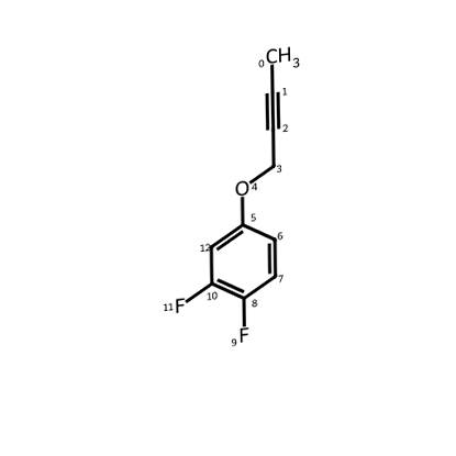 CC#CCOc1ccc(F)c(F)c1